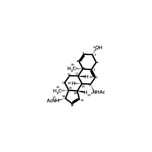 CC(=O)N[C@H]1C=C2C[C@@H](O)C=C[C@]2(C)[C@H]2CC[C@]3(C)[C@@H](NC(C)=O)C=C[C@H]3[C@H]12